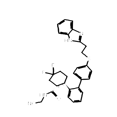 N#CCNC(=O)[C@@H]1CC(F)(F)CC[C@H]1c1ccccc1-c1ccc(SCCc2nc3ccccc3[nH]2)cc1